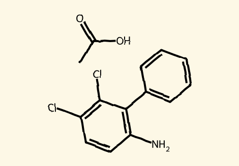 CC(=O)O.Nc1ccc(Cl)c(Cl)c1-c1ccccc1